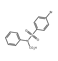 O=C(O)N(c1ccccc1)S(=O)(=O)c1ccc(Br)cc1